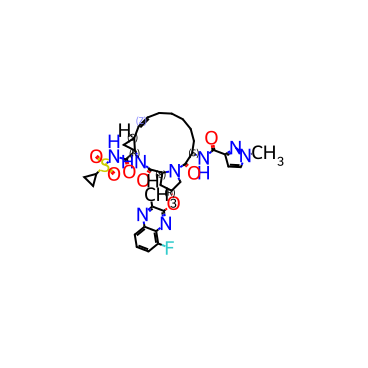 Cc1nc2cccc(F)c2nc1O[C@@H]1C[C@H]2C(=O)N[C@]3(C(=O)NS(=O)(=O)C4CC4)C[C@H]3/C=C\CCCCC[C@H](NC(=O)c3ccn(C)n3)C(=O)N2C1